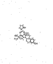 CC(C)(C)[Si](C)(C)O[C@@H]1CC2C3CCc4cc(O)ccc4C3CC[C@]2(C)[C@H]1OC(=O)[C@@H]1CCCN1